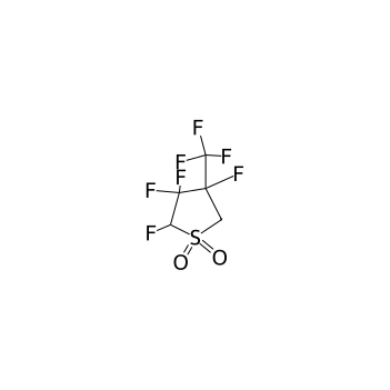 O=S1(=O)CC(F)(C(F)(F)F)C(F)(F)C1F